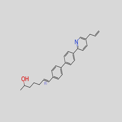 C=CCc1ccc(-c2ccc(-c3ccc(/C=C/CCCC(C)O)cc3)cc2)nc1